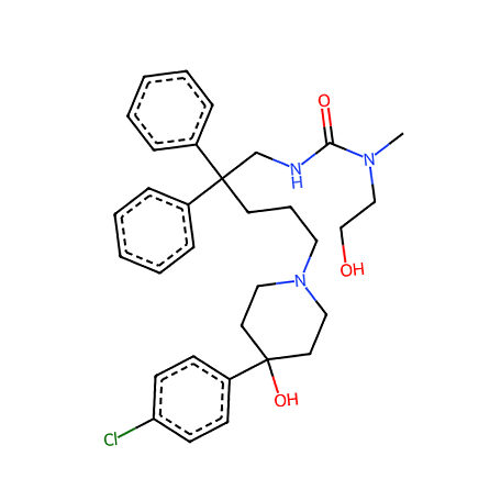 CN(CCO)C(=O)NCC(CCCN1CCC(O)(c2ccc(Cl)cc2)CC1)(c1ccccc1)c1ccccc1